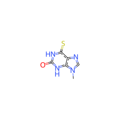 Cn1cnc2c(=S)[nH]c(=O)[nH]c21